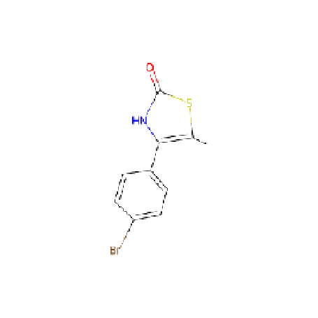 Cc1sc(=O)[nH]c1-c1ccc(Br)cc1